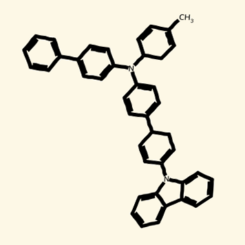 CC1=CCC(N(c2ccc(-c3ccccc3)cc2)c2ccc(C3C=CC(n4c5ccccc5c5ccccc54)=CC3)cc2)C=C1